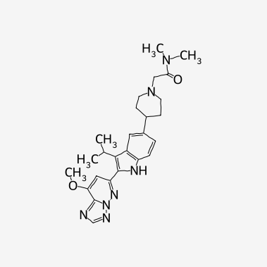 COc1cc(-c2[nH]c3ccc(C4CCN(CC(=O)N(C)C)CC4)cc3c2C(C)C)nn2ncnc12